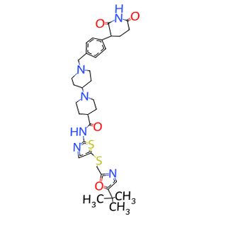 CC(C)(C)c1cnc(CSc2cnc(NC(=O)C3CCN(C4CCN(Cc5ccc(C6CCC(=O)NC6=O)cc5)CC4)CC3)s2)o1